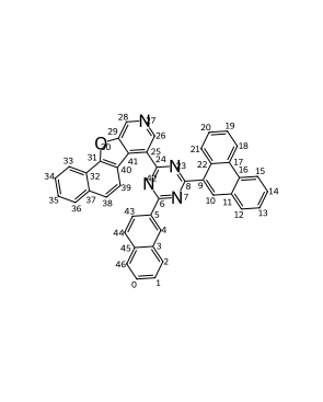 c1ccc2cc(-c3nc(-c4cc5ccccc5c5ccccc45)nc(-c4cncc5oc6c7ccccc7ccc6c45)n3)ccc2c1